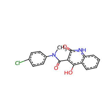 CN(C(=O)c1c(O)c2ccccc2[nH]c1=O)c1ccc(Cl)cc1